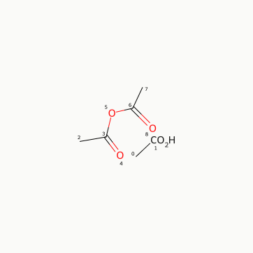 CC(=O)O.CC(=O)OC(C)=O